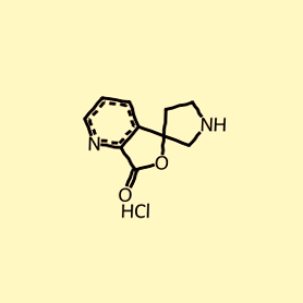 Cl.O=C1OC2(CCNC2)c2cccnc21